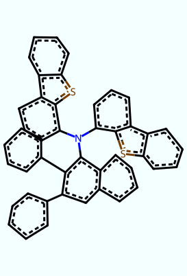 c1ccc(-c2cc3ccccc3c(N(c3cccc4c3sc3ccccc34)c3cccc4c3sc3ccccc34)c2-c2ccccc2)cc1